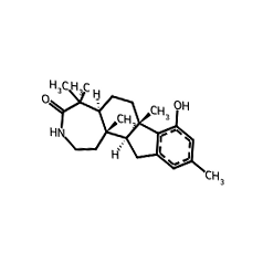 Cc1cc(O)c2c(c1)C[C@H]1[C@]3(C)CCNC(=O)C(C)(C)[C@H]3CC[C@]21C